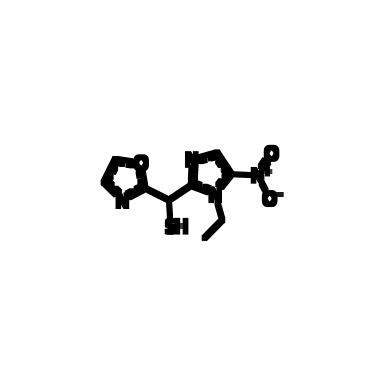 CCn1c([N+](=O)[O-])cnc1C(S)c1ncco1